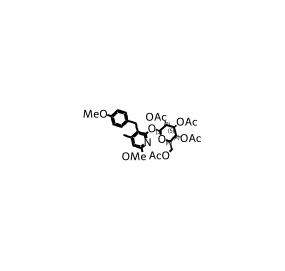 COc1ccc(Cc2c(C)cc(OC)nc2O[C@@H]2O[C@H](COC(C)=O)[C@@H](OC(C)=O)[C@H](OC(C)=O)[C@H]2OC(C)=O)cc1